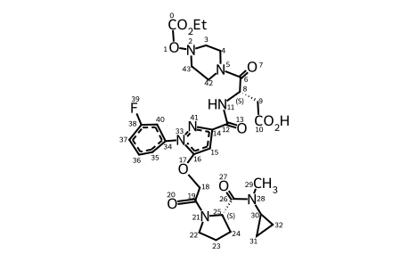 CCOC(=O)ON1CCN(C(=O)[C@H](CC(=O)O)NC(=O)c2cc(OCC(=O)N3CCC[C@H]3C(=O)N(C)C3CC3)n(-c3cccc(F)c3)n2)CC1